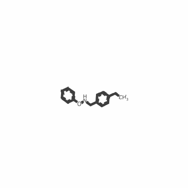 CCc1ccc(CNOc2ccccc2)cc1